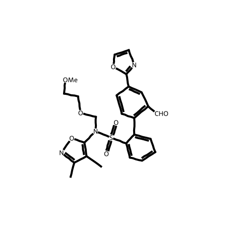 COCCOCN(c1onc(C)c1C)S(=O)(=O)c1ccccc1-c1ccc(-c2ncco2)cc1C=O